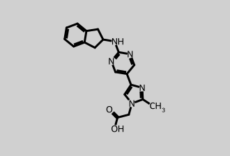 Cc1nc(-c2cnc(NC3Cc4ccccc4C3)nc2)cn1CC(=O)O